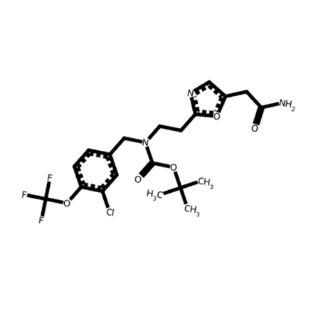 CC(C)(C)OC(=O)N(CCc1ncc(CC(N)=O)o1)Cc1ccc(OC(F)(F)F)c(Cl)c1